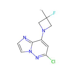 [CH2]C1(F)CN(c2cc(Cl)nn3ccnc23)C1